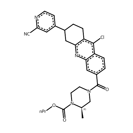 CCCOC(=O)N1CCN(C(=O)c2ccc3c(Cl)c4c(nc3c2)CC(c2ccnc(C#N)c2)CC4)C[C@H]1C